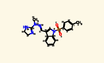 Cc1ccc(S(=O)(=O)n2cc(C=NN(C)C3=NCCN3)c3ccccc32)cc1